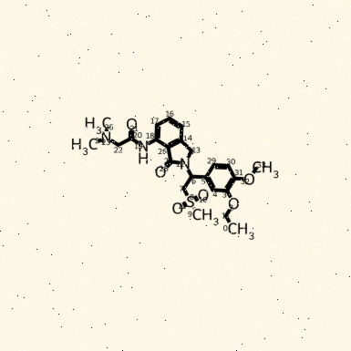 CCOc1cc(C(CS(C)(=O)=O)N2Cc3cccc(NC(=O)CN(C)C)c3C2=O)ccc1OC